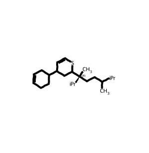 CC(C)C(C)CC[C@](C)(C(C)C)C1CC(C2CC=CCC2)C=CS1